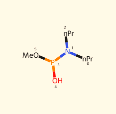 CCCN(CCC)P(O)OC